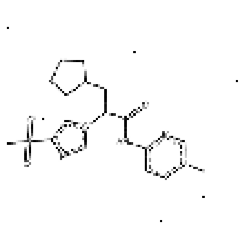 Cc1ccc(NC(=O)C(CC2CCCC2)n2cnc(S(C)(=O)=O)c2)nc1